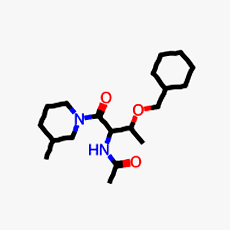 CC(=O)NC(C(=O)N1CCCC(C)C1)C(C)OCC1CCCCC1